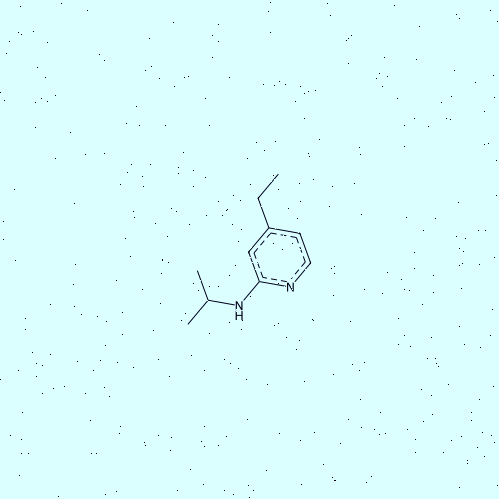 CCc1ccnc(NC(C)C)c1